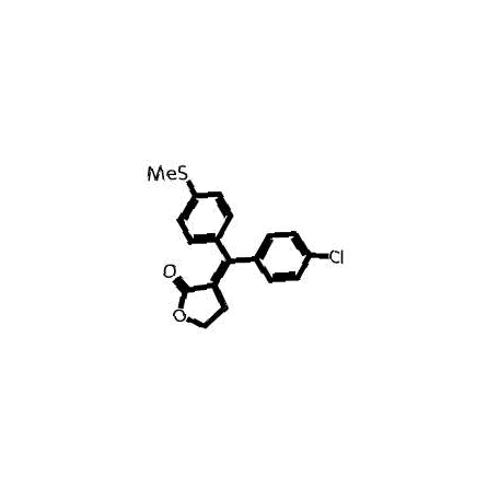 CSc1ccc(C(=C2CCOC2=O)c2ccc(Cl)cc2)cc1